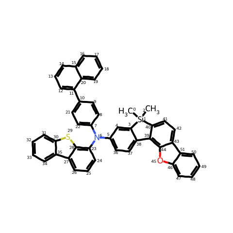 C[Si]1(C)c2cc(N(c3ccc(-c4cccc5ccccc45)cc3)c3cccc4c3sc3ccccc34)ccc2-c2c1ccc1c2oc2ccccc21